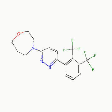 FC(F)(F)c1cccc(-c2ccc(N3CCCOCC3)nn2)c1C(F)(F)F